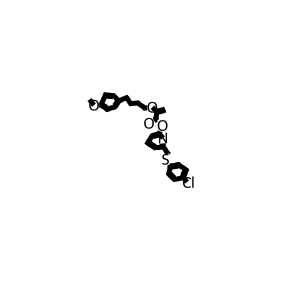 C=C(OCCCCc1ccc(OC)cc1)C(=O)Oc1cccc(CSc2ccc(Cl)cc2)n1